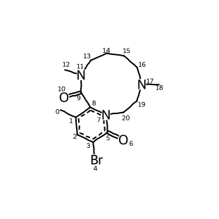 Cc1cc(Br)c(=O)n2c1C(=O)N(C)CCCCN(C)CC2